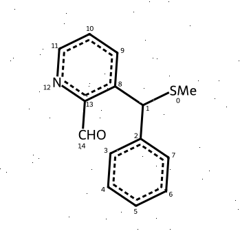 CSC(c1ccccc1)c1cccnc1C=O